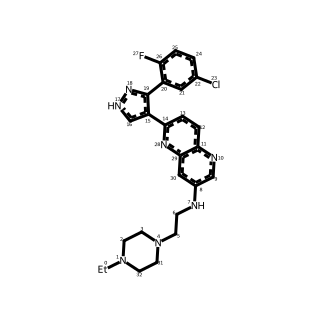 CCN1CCN(CCNc2cnc3ccc(-c4c[nH]nc4-c4cc(Cl)ccc4F)nc3c2)CC1